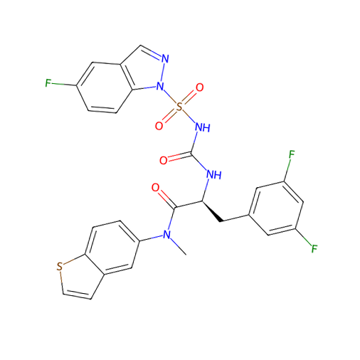 CN(C(=O)[C@H](Cc1cc(F)cc(F)c1)NC(=O)NS(=O)(=O)n1ncc2cc(F)ccc21)c1ccc2sccc2c1